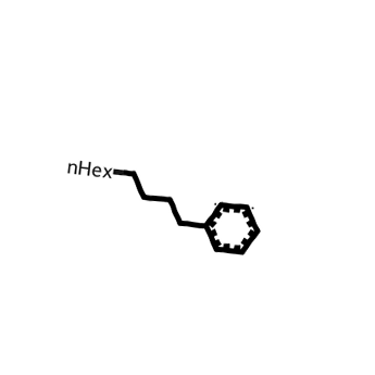 CCCCCCCCCCc1[c][c]ccc1